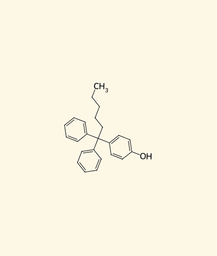 CCCCCC(c1ccccc1)(c1ccccc1)c1ccc(O)cc1